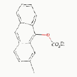 CCOC(=O)Oc1c2ccccc2cc2ccc(C)cc12